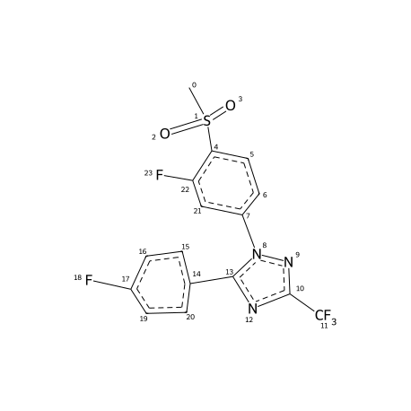 CS(=O)(=O)c1ccc(-n2nc(C(F)(F)F)nc2-c2ccc(F)cc2)cc1F